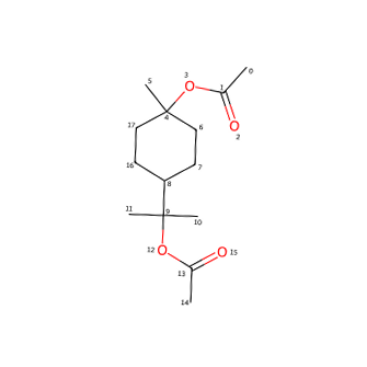 CC(=O)OC1(C)CCC(C(C)(C)OC(C)=O)CC1